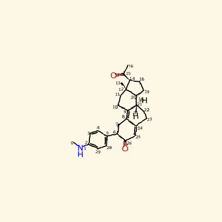 CNc1ccc(C2CC3=C4CC[C@]5(C)[C@@H](C(C)=O)CC[C@H]5[C@@H]4CCC3=CC2=O)cc1